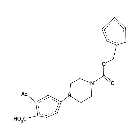 CC(=O)c1cc(N2CCN(C(=O)OCc3ccccc3)CC2)ccc1C(=O)O